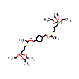 CCO[Si](CCCSC(C)OCC1CCC(COC(C)SCCC[Si](OCC)(OCC)OCC)CC1)(OCC)OCC